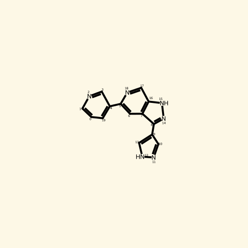 c1cncc(-c2cc3c(-c4cn[nH]c4)n[nH]c3cn2)c1